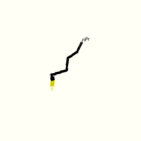 CCCCCC[C]=S